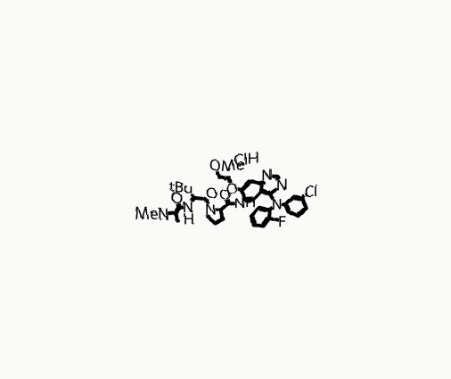 CNC(C)C(=O)NC(C(=O)N1CCCC1C(=O)Nc1cc2c(N(c3cccc(Cl)c3)c3ccccc3F)ncnc2cc1OCCOC)C(C)(C)C.Cl